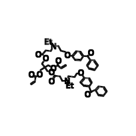 C=CC(=O)OCC(COC(=O)C=C)(COC(=O)CCN(CC)CCCOc1ccc(C(=O)c2ccccc2)cc1)COC(=O)CCN(CC)CCCOc1ccc(C(=O)c2ccccc2)cc1